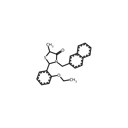 CCOc1ccccc1C1SC(C)C(=O)N1Cc1ccc2ccccc2c1